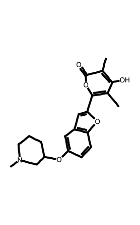 Cc1c(-c2cc3cc(OC4CCCN(C)C4)ccc3o2)oc(=O)c(C)c1O